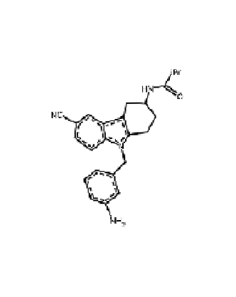 CC(C)C(=O)NC1CCc2c(c3cc(C#N)ccc3n2Cc2cccc(N)c2)C1